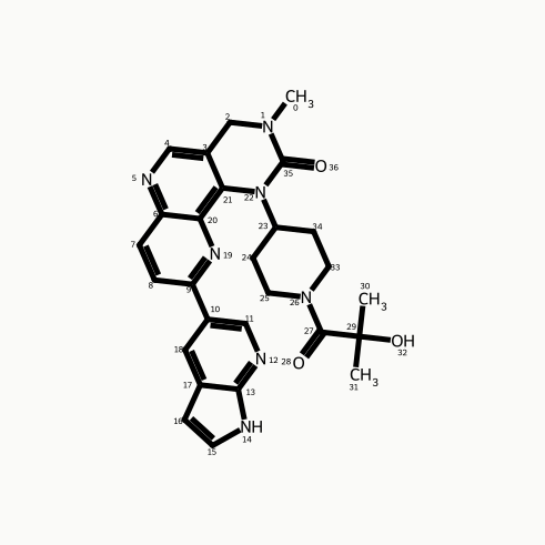 CN1Cc2cnc3ccc(-c4cnc5[nH]ccc5c4)nc3c2N(C2CCN(C(=O)C(C)(C)O)CC2)C1=O